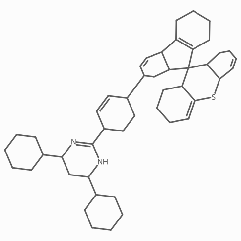 C1=CC2SC3=CCCCC3C3(C4=C(CCCC4)C4C=CC(C5C=CC(C6=NC(C7CCCCC7)CC(C7CCCCC7)N6)CC5)CC43)C2CC1